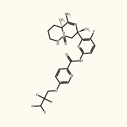 C[C@@]12CCCN[SH]1(=O)C[C@@](C)(c1nc(NC(=O)c3ccc(OCC(F)(F)C(F)F)cn3)ccc1F)N=C2N